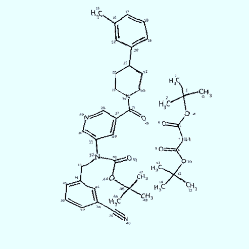 CC(C)(C)OC(=O)NC(=O)OC(C)(C)C.Cc1cccc(C2CCN(C(=O)c3cncc(N(Cc4cccc(C#N)c4)C(=O)OC(C)(C)C)c3)CC2)c1